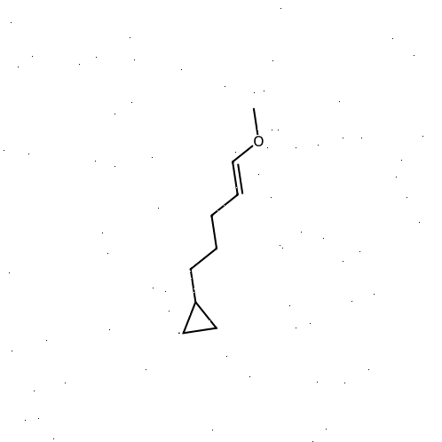 COC=CCCCC1[CH]C1